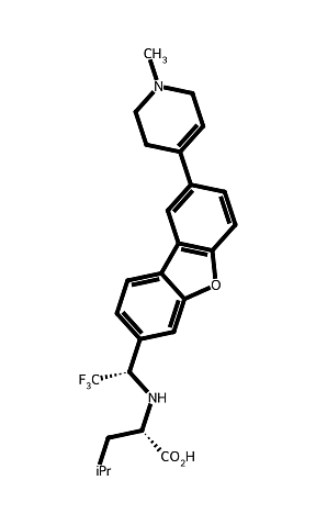 CC(C)C[C@H](N[C@@H](c1ccc2c(c1)oc1ccc(C3=CCN(C)CC3)cc12)C(F)(F)F)C(=O)O